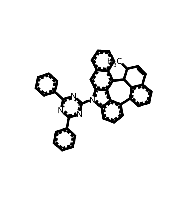 CC1C=Cc2cccc3c2C1c1c2ccccc2cc2c1c1c-3cccc1n2-c1nc(-c2ccccc2)nc(-c2ccccc2)n1